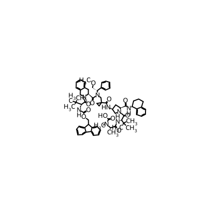 COC[C@H](c1ccccc1)N(CC1(C(=O)N[C@H]2C[C@@H](C(=O)N[C@@H]3CCCc4ccccc43)N(C(=O)[C@@H](NC(=O)[C@H](C)N(C)C(=O)O)C(C)(C)C)C2)CC1)C(=O)[C@@H]1Cc2ccccc2CN1C(=O)[C@@H](NC(=O)OCC1c2ccccc2-c2ccccc21)C(C)(C)C